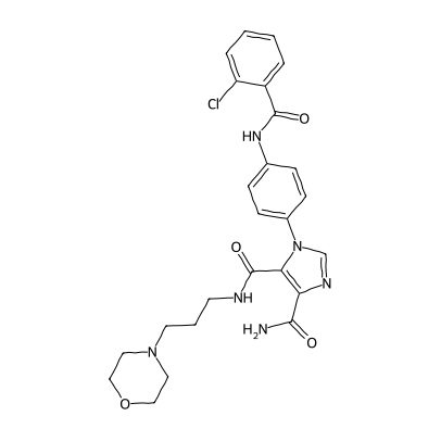 NC(=O)c1ncn(-c2ccc(NC(=O)c3ccccc3Cl)cc2)c1C(=O)NCCCN1CCOCC1